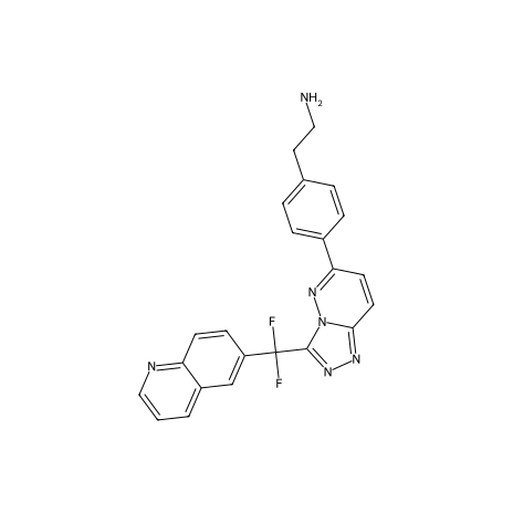 NCCc1ccc(-c2ccc3nnc(C(F)(F)c4ccc5ncccc5c4)n3n2)cc1